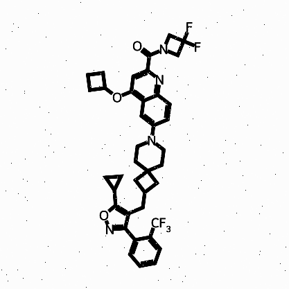 O=C(c1cc(OC2CCC2)c2cc(N3CCC4(CC3)CC(Cc3c(-c5ccccc5C(F)(F)F)noc3C3CC3)C4)ccc2n1)N1CC(F)(F)C1